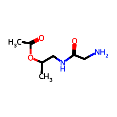 CC(=O)OC(C)CNC(=O)CN